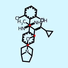 CC(=N)c1ccc(N2C3CCC2CC(OC/C(C(=N)c2c(Cl)cccc2Cl)=C(/O)C2CC2)C3)cc1